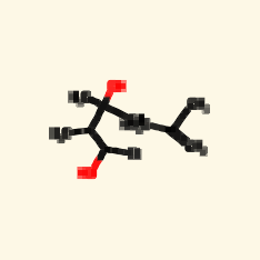 C=C(C)C(=O)O.CCC(O)C(C)C(C)(C)O